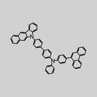 c1ccc(N(c2ccc(-c3ccc(-n4c5ccccc5c5cc6ccccc6cc54)cc3)cc2)c2ccc(-c3cc4ccccc4c4ccccc34)cc2)cc1